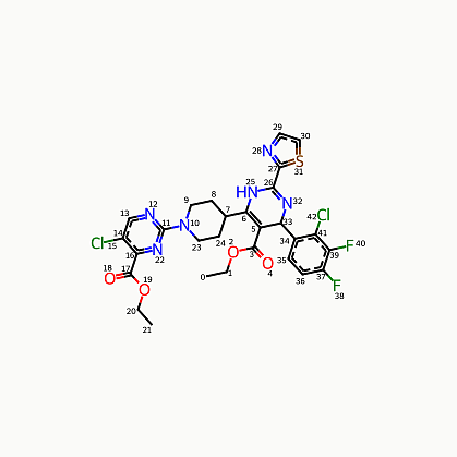 CCOC(=O)C1=C(C2CCN(c3ncc(Cl)c(C(=O)OCC)n3)CC2)NC(c2nccs2)=NC1c1ccc(F)c(F)c1Cl